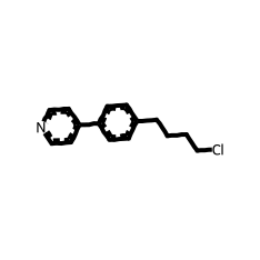 ClCCCCc1ccc(-c2ccncc2)cc1